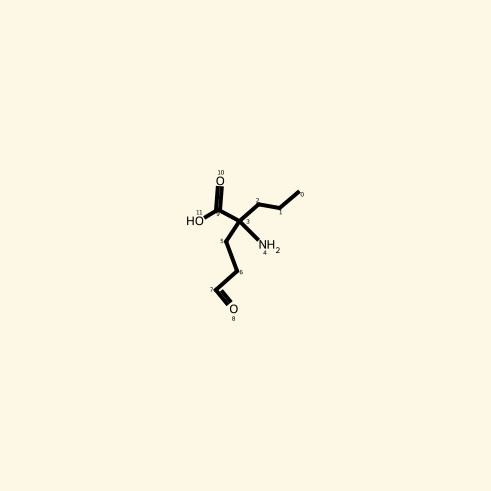 CCCC(N)(CCC=O)C(=O)O